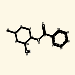 [CH2]C1CCC(OC(=O)c2ccccc2)C(O)C1